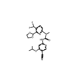 CC(C)Oc1cc(NC(=O)N(C)c2ccc(C(F)F)c(C3OCCO3)n2)ncc1C#N